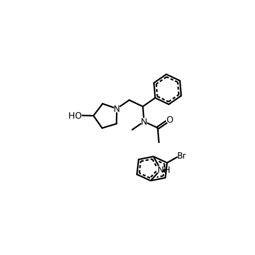 Brc1cc2ccc1[nH]2.CC(=O)N(C)C(CN1CCC(O)C1)c1ccccc1